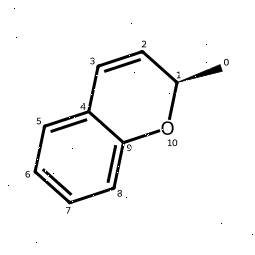 C[C@@H]1C=Cc2ccccc2O1